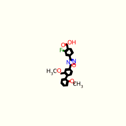 COCc1cc(-c2nc(-c3ccc(C(=O)O)c(F)c3)no2)ccc1-c1ccccc1OC